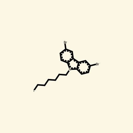 Brc1ccc2c(c1)c1cc(Br)ccc1n2CCCCCCI